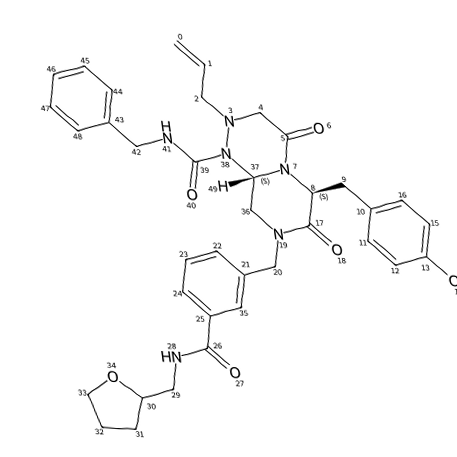 C=CCN1CC(=O)N2[C@@H](Cc3ccc(O)cc3)C(=O)N(Cc3cccc(C(=O)NCC4CCCO4)c3)C[C@@H]2N1C(=O)NCc1ccccc1